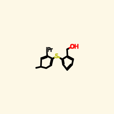 CC1C=C(C(C)C)C(Sc2ccccc2CO)=CC1